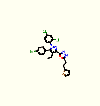 CCc1c(-c2nnc(CCc3cccs3)o2)nn(-c2ccc(Cl)cc2Cl)c1-c1ccc(Br)cc1